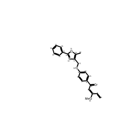 C=CC(=CC(=O)c1ccc(OCc2nc(-c3ccccc3)oc2C)cc1)OC